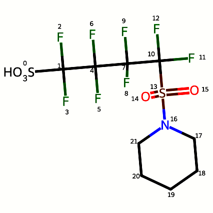 O=S(=O)(O)C(F)(F)C(F)(F)C(F)(F)C(F)(F)S(=O)(=O)N1CCCCC1